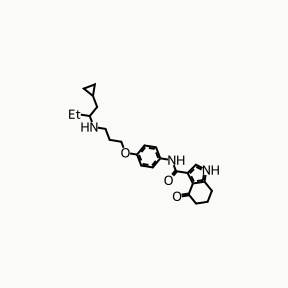 CCC(CC1CC1)NCCCOc1ccc(NC(=O)c2c[nH]c3c2C(=O)CCC3)cc1